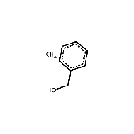 C.OCc1ccccc1